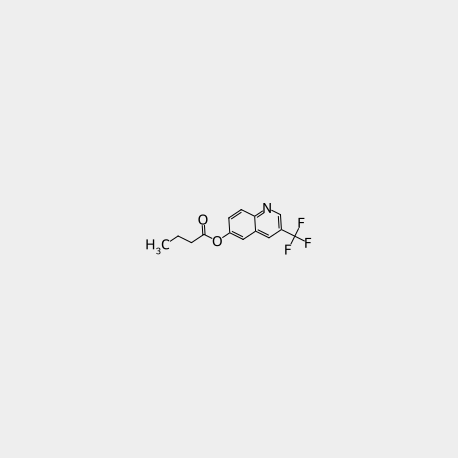 CCCC(=O)Oc1ccc2ncc(C(F)(F)F)cc2c1